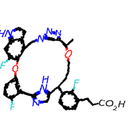 CC1OCCCC(c2cccc(CCC(=O)O)c2F)c2cnc([nH]2)-c2cc(ccc2F)Oc2c(F)cc3[nH]ccc3c2Cn2cc1nn2